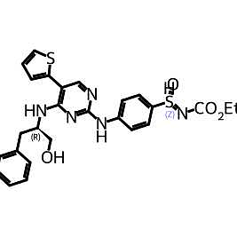 CCOC(=O)/N=[SH](=O)/c1ccc(Nc2ncc(-c3cccs3)c(N[C@@H](CO)Cc3ccccc3)n2)cc1